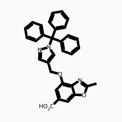 Cc1nc2c(OCc3cnn(C(c4ccccc4)(c4ccccc4)c4ccccc4)c3)cc(C(=O)O)cc2o1